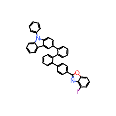 Ic1cccc2oc(-c3ccc(-c4ccccc4-c4ccccc4-c4ccc5c(c4)c4ccccc4n5-c4ccccc4)cc3)nc12